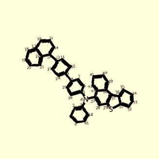 c1ccc(N(c2ccc(-c3ccc(-c4cccc5ccccc45)cc3)cc2)c2cc3sc4ccccc4c3c3ccccc23)cc1